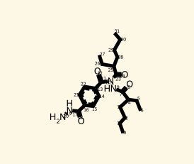 CCCCC(CC)C(=O)NN(C(=O)c1ccc(C(=O)NN)cc1)C(=O)C(CC)CCCC